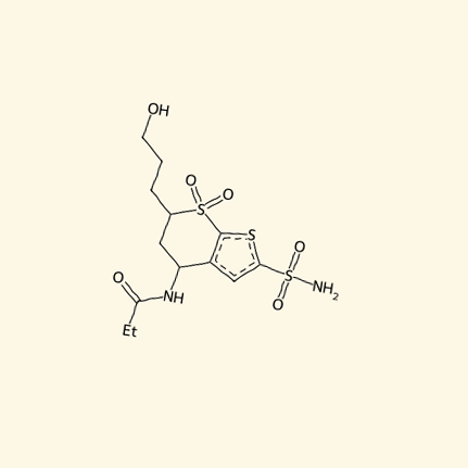 CCC(=O)NC1CC(CCCO)S(=O)(=O)c2sc(S(N)(=O)=O)cc21